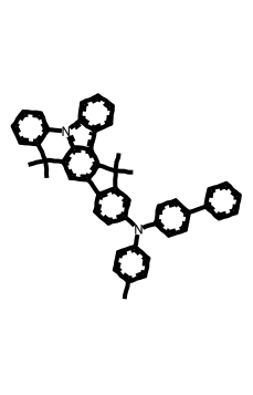 Cc1ccc(N(c2ccc(-c3ccccc3)cc2)c2ccc3c(c2)C(C)(C)c2c-3cc3c4c2c2ccccc2n4-c2ccccc2C3(C)C)cc1